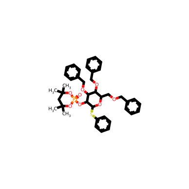 CC1(C)CC(C)(C)OP(=O)(OC2C(Sc3ccccc3)OC(COCc3ccccc3)C(OCc3ccccc3)C2OCc2ccccc2)O1